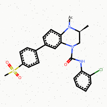 CC(=O)N1c2ccc(-c3ccc(S(C)(=O)=O)cc3)cc2N(C(=O)Nc2ccccc2Cl)C[C@@H]1C